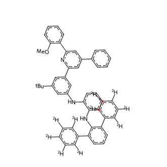 [2H]c1c([2H])c([2H])c(-c2cccc(-c3c([2H])c([2H])c([2H])c([2H])c3[2H])c2Nc2ccccc2Nc2cc(-c3cc(-c4ccccc4)cc(-c4ccccc4OC)n3)cc(C(C)(C)C)c2)c([2H])c1[2H]